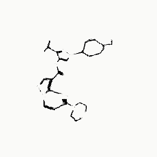 O=C(Nc1cn(C2CCC(CO)CC2)nc1C(F)F)c1cnn2ccc(N3CCOCC3)nc12